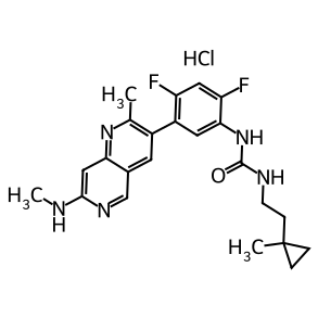 CNc1cc2nc(C)c(-c3cc(NC(=O)NCCC4(C)CC4)c(F)cc3F)cc2cn1.Cl